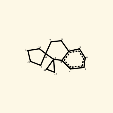 c1ccc2c(c1)CCC1(CCCC1)C21CC1